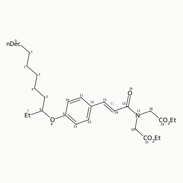 CCCCCCCCCCCCCCCC(CC)Oc1ccc(/C=C/C(=O)N(CC(=O)OCC)CC(=O)OCC)cc1